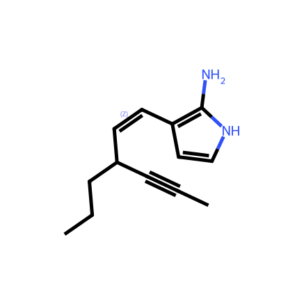 CC#CC(/C=C\c1cc[nH]c1N)CCC